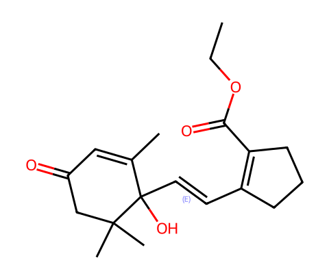 CCOC(=O)C1=C(/C=C/C2(O)C(C)=CC(=O)CC2(C)C)CCC1